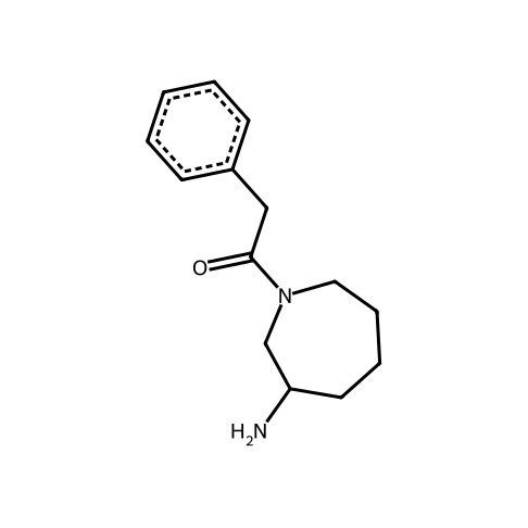 NC1CCCCN(C(=O)Cc2ccccc2)C1